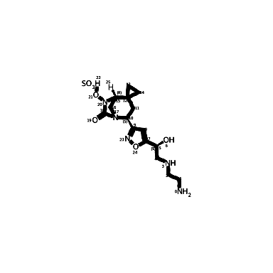 NCCNC[C@H](O)c1cc([C@@H]2CC3(CC3)[C@@H]3CN2C(=O)N3OS(=O)(=O)O)no1